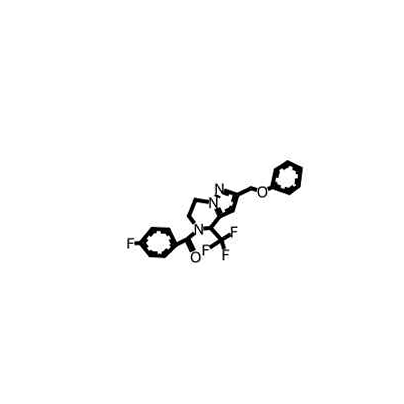 O=C(c1ccc(F)cc1)N1CCn2nc(COc3ccccc3)cc2C1C(F)(F)F